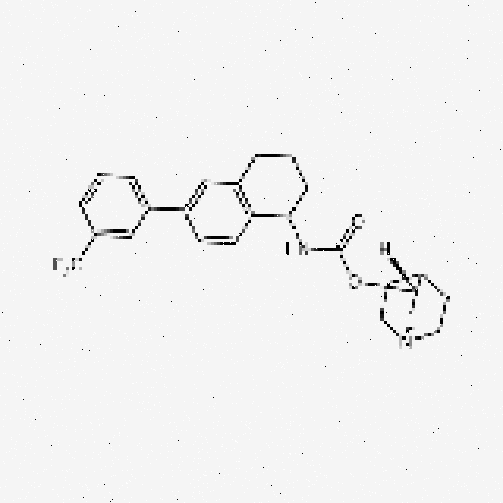 O=C(NC1CCCc2cc(-c3cccc(C(F)(F)F)c3)ccc21)O[C@H]1CN2CCC1CC2